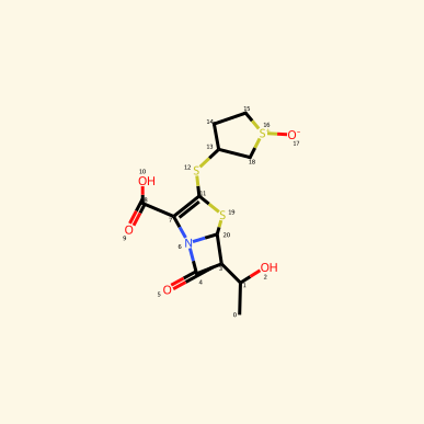 CC(O)C1C(=O)N2C(C(=O)O)=C(SC3CC[S+]([O-])C3)SC12